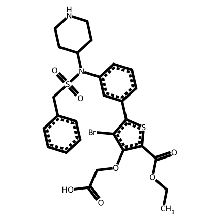 CCOC(=O)c1sc(-c2cccc(N(C3CCNCC3)S(=O)(=O)Cc3ccccc3)c2)c(Br)c1OCC(=O)O